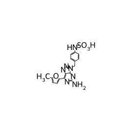 Cc1ccc(-c2nc(N)nc3c2nnn3Cc2ccc(NS(=O)(=O)O)cc2)o1